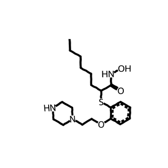 CCCCCCC(Sc1ccccc1OCCN1CCNCC1)C(=O)NO